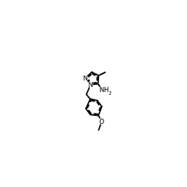 COc1ccc(Cn2ncc(C)c2N)cc1